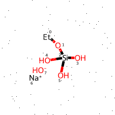 CCO[Si](O)(O)O.[Na+].[OH-]